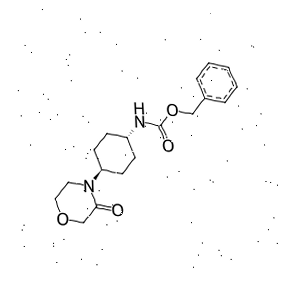 O=C(N[C@H]1CC[C@H](N2CCOCC2=O)CC1)OCc1ccccc1